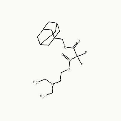 CCN(CC)CCOS(=O)C(F)(F)C(=O)OCC12CC3CC(CC(C3)C1)C2